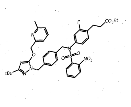 CCOC(=O)CCc1ccc(N(Cc2ccc(Cn3nc(C(C)(C)C)cc3OCc3cccc(C)n3)cc2)S(=O)(=O)c2ccccc2[N+](=O)[O-])cc1F